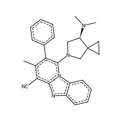 Cc1c(-c2ccccc2)c(N2C[C@@H](N(C)C)C3(CC3)C2)n2c(nc3ccccc32)c1C#N